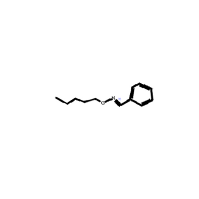 CCCCCO/N=C/c1cc[c]cc1